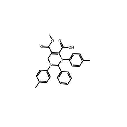 COC(=O)C1=C(C(=O)O)N(c2ccc(C)cc2)C(c2ccccc2)N(c2ccc(C)cc2)C1